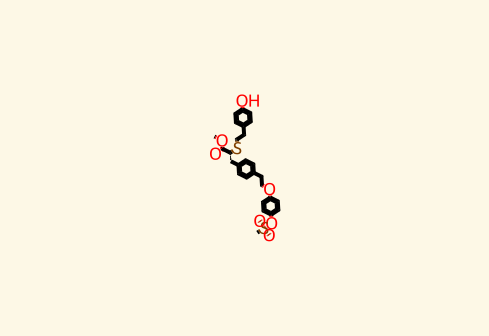 COC(=O)[C@@H](Cc1ccc(CCOc2ccc(OS(C)(=O)=O)cc2)cc1)SCCc1ccc(O)cc1